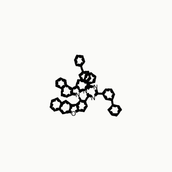 c1ccc(-c2ccc(-c3nc(-c4cccc(-c5ccccc5)c4)nc(-c4ccc5oc6cc7ccccc7cc6c5c4-n4c5cc6ccccc6cc5c5c6ccccc6ccc54)n3)cc2)cc1